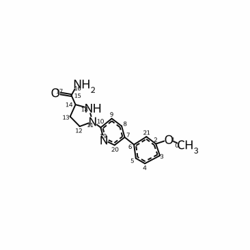 COc1cccc(-c2ccc(N3CCC(C(N)=O)N3)nc2)c1